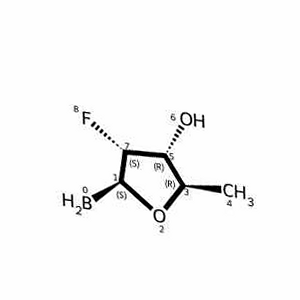 B[C@@H]1O[C@H](C)[C@@H](O)[C@H]1F